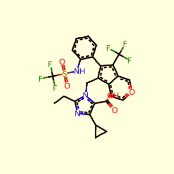 CCc1nc(C2CC2)c(C(=O)O)n1Cc1c2ccocc-2c(C(F)(F)F)c1-c1ccccc1NS(=O)(=O)C(F)(F)F